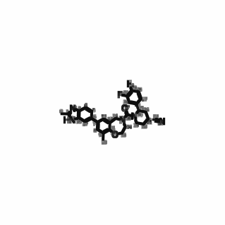 Cc1nc2ccc(-c3cc(C)c4c(c3)CN(C(=O)N3CC[C@@H](C#N)C[C@@H]3c3ccc(F)c(F)c3)CCO4)cc2[nH]1